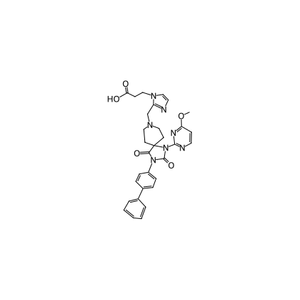 COc1ccnc(N2C(=O)N(c3ccc(-c4ccccc4)cc3)C(=O)C23CCN(Cc2nccn2CCC(=O)O)CC3)n1